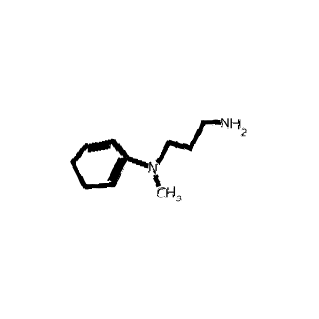 CN(CCCN)C1=CCCC=C1